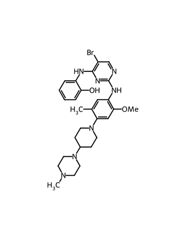 COc1cc(N2CCC(N3CCN(C)CC3)CC2)c(C)cc1Nc1ncc(Br)c(Nc2ccccc2O)n1